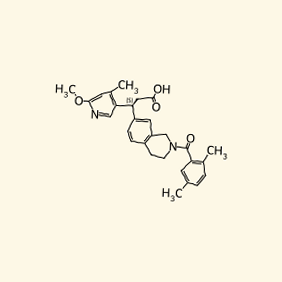 COc1cc(C)c([C@@H](CC(=O)O)c2ccc3c(c2)CN(C(=O)c2cc(C)ccc2C)CC3)cn1